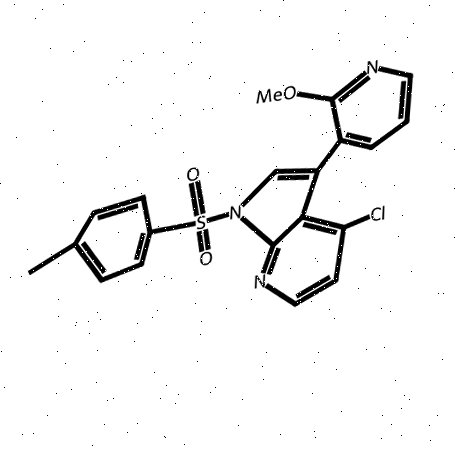 COc1ncccc1-c1cn(S(=O)(=O)c2ccc(C)cc2)c2nccc(Cl)c12